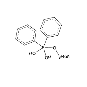 CCCCCCCCCOP(O)(O)(c1ccccc1)c1ccccc1